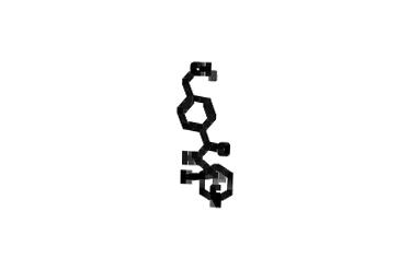 CCc1ccc(C(=O)N[C@H]2CN3CCC2CC3)cc1